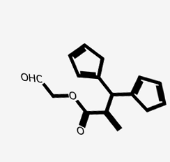 C=C(C(=O)OCC=O)C(C1=CC=CC1)C1=CC=CC1